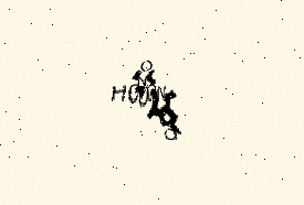 Cc1nc(OCC2COCCN2C(=O)O)c(C)c2c1CC(C=O)C2